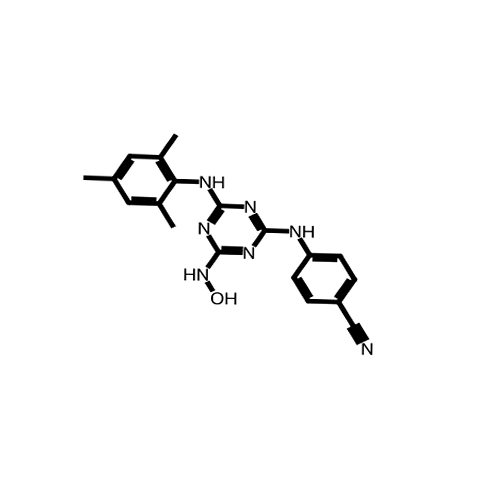 Cc1cc(C)c(Nc2nc(NO)nc(Nc3ccc(C#N)cc3)n2)c(C)c1